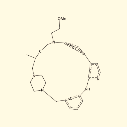 COCCN1CCC(C)CN2CCN(CC2)Cc2cccc(c2)Nc2cc(ccn2)-c2cnc1nc2